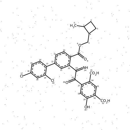 CC1CCC1COC(=O)c1ccc(-c2ccc(Cl)cc2Cl)cc1C(=N)C(=O)c1cc(O)c(C(=O)O)cc1C(=O)O